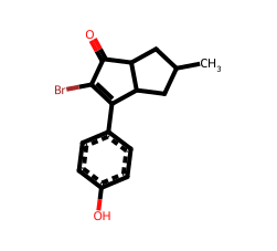 CC1CC2C(=O)C(Br)=C(c3ccc(O)cc3)C2C1